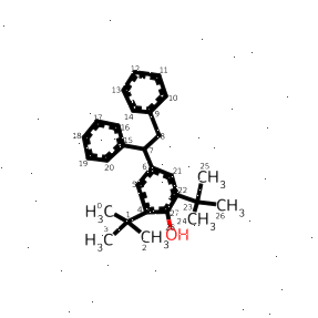 CC(C)(C)c1cc(C(Cc2ccccc2)c2ccccc2)cc(C(C)(C)C)c1O